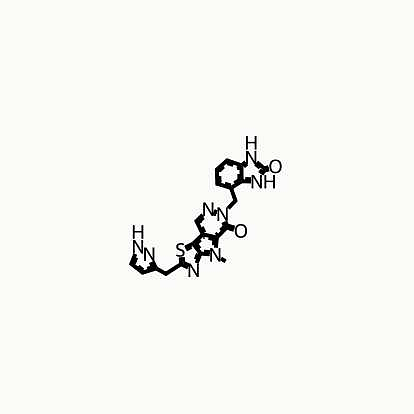 Cn1c2nc(Cc3cc[nH]n3)sc2c2cnn(Cc3cccc4[nH]c(=O)[nH]c34)c(=O)c21